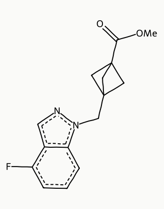 COC(=O)C12CC(Cn3ncc4c(F)cccc43)(C1)C2